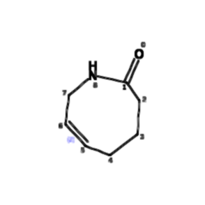 O=C1CCC/C=C\CN1